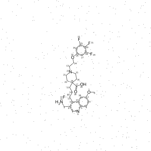 COc1ccc2ncc(CN)c([C@H](F)CCC3(C(=O)O)CCN(CCOc4cc(F)c(F)c(F)c4)CC3)c2c1